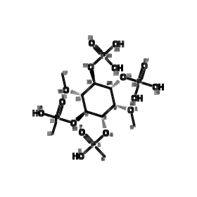 CO[C@@H]1[C@H](OP(C)(=O)O)[C@@H](OP(C)(=O)O)[C@H](OC)[C@@H](OP(=O)(O)O)[C@@H]1OP(=O)(O)O